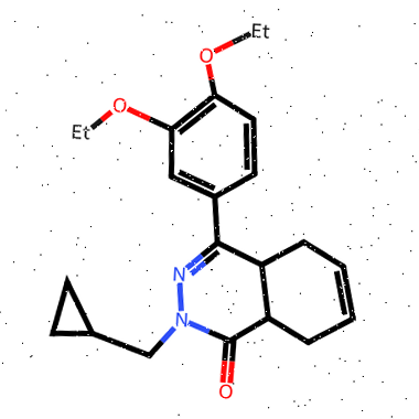 CCOc1ccc(C2=NN(CC3CC3)C(=O)C3CC=CCC23)cc1OCC